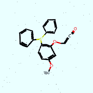 CC(C)(C)Oc1ccc([S+](c2ccccc2)c2ccccc2)c(OC=C=O)c1